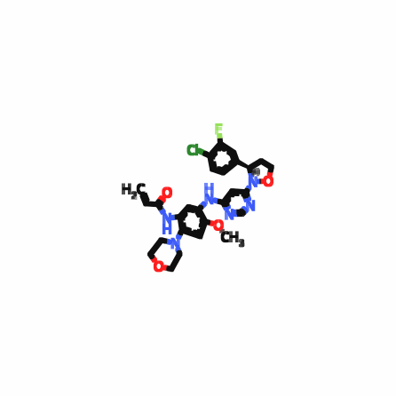 C=CC(=O)Nc1cc(Nc2cc(N3OCC[C@@H]3c3ccc(Cl)c(F)c3)ncn2)c(OC)cc1N1CCOCC1